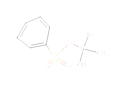 CC[Si](C)(C)OS(=O)(=O)c1ccccc1